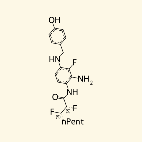 CCCCC[C@H](F)[C@@H](F)C(=O)Nc1ccc(NCc2ccc(O)cc2)c(F)c1N